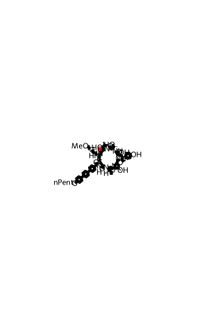 C=C[C@H](C)C1NC(=O)C(NC(=O)c2ccc(-c3ccc(-c4ccc(OCCCCC)cc4)cc3)cc2)CCC(NCCOCCOC)NC(=O)C2[C@@H](O)[C@@H](C)CN2C(=O)C([C@@H](C)O)NC(=O)C([C@H](O)[C@@H](C=C)c2ccc(O)cc2)NC(=O)C2C[C@@H](O)CN2C1=O